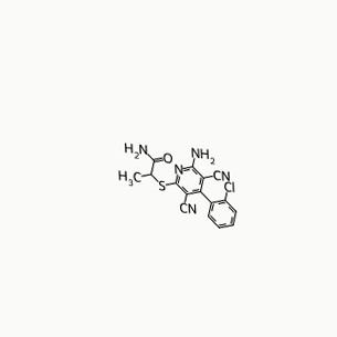 CC(Sc1nc(N)c(C#N)c(-c2ccccc2Cl)c1C#N)C(N)=O